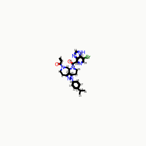 C=CC(=O)N1CCc2nn(-c3ccc(C(C)C)cc3)c3c2C(C1)N(C(=O)c1ncc(Br)c2[nH]cnc12)CC3